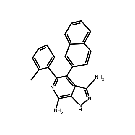 Cc1ccccc1-c1nc(N)c2[nH]nc(N)c2c1-c1ccc2ccccc2c1